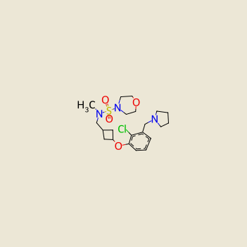 CN(CC1CC(Oc2cccc(CN3CCCC3)c2Cl)C1)S(=O)(=O)N1CCOCC1